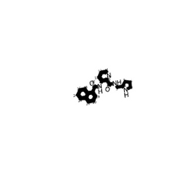 O=C(NCC1CCCN1)c1ncccc1NC(=O)c1cccc2ccccc12